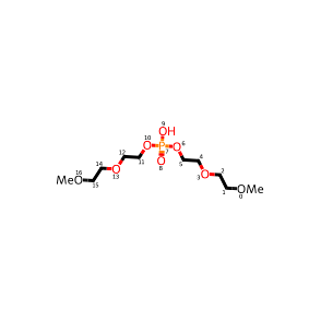 COCCOCCOP(=O)(O)OCCOCCOC